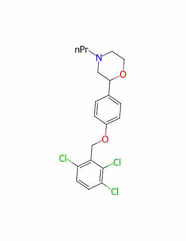 CCCN1CCOC(c2ccc(OCc3c(Cl)ccc(Cl)c3Cl)cc2)C1